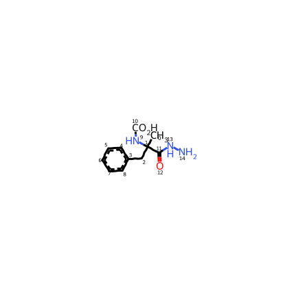 CC(Cc1ccccc1)(NC(=O)O)C(=O)NN